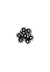 N#Cc1c(-n2c3ccccc3c3ccccc32)c(O)c(-n2c3ccccc3c3ccccc32)c(C#N)c1-n1c2ccccc2c2ccccc21